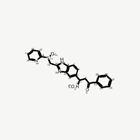 O=C(CC(C(=O)O)c1ccc2[nH]c(C[S+]([O-])c3ccccn3)nc2c1)c1ccccc1